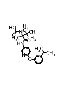 CC(C)c1cccc(Oc2ccc(NC(=O)[C@](C)(NC(=O)O)C(C)(C)C)cn2)c1